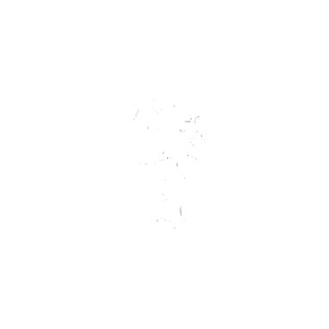 Cc1cccc(Cc2nnc(C(=O)C(CCc3ccccc3)NC=O)o2)c1